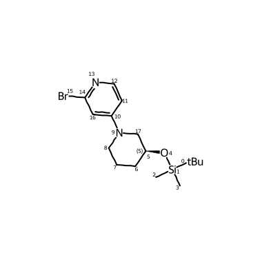 CC(C)(C)[Si](C)(C)O[C@H]1CCCN(c2ccnc(Br)c2)C1